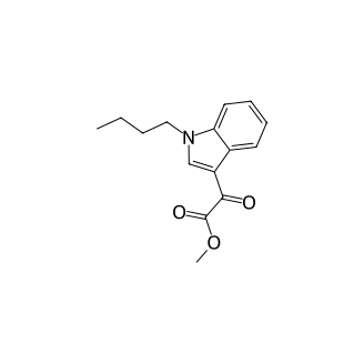 CCCCn1cc(C(=O)C(=O)OC)c2ccccc21